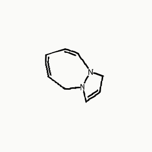 C1=CCN2C=CCN2C=C1